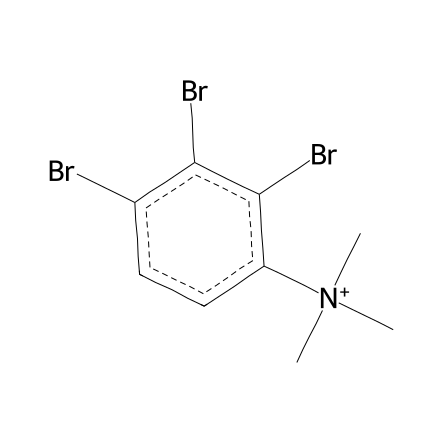 C[N+](C)(C)c1ccc(Br)c(Br)c1Br